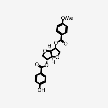 COc1ccc(C(=O)O[C@H]2CO[C@@H]3[C@H]2OC[C@@H]3OC(=O)c2ccc(O)cc2)cc1